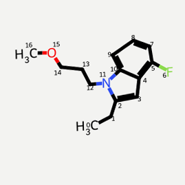 CCc1cc2c(F)cccc2n1CCCOC